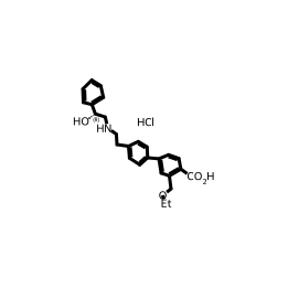 CCOCc1cc(-c2ccc(CCNC[C@H](O)c3ccccc3)cc2)ccc1C(=O)O.Cl